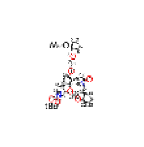 COc1ccccc1COCCCOc1ccc(C2CCN(C(=O)OC(C)(C)C)CC2OCCOc2ccccc2CCN2CCCC2=O)cc1